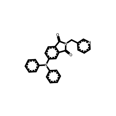 O=C1c2ccc(N(c3ccccc3)c3ccccc3)cc2C(=O)N1Cc1cccnc1